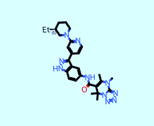 CC[C@H]1CCCN(c2cc(-c3n[nH]c4ccc(NC(=O)C5=C(C)N(C)c6nnnn6C5(C)C)cc34)ccn2)C1